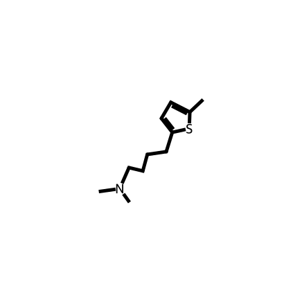 Cc1ccc(CCCCN(C)C)s1